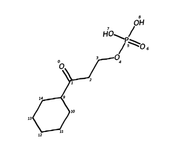 O=C(CCOP(=O)(O)O)C1CCCCC1